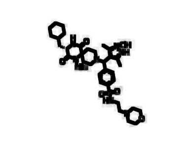 CCCCN1C(=O)[C@H](CC2CCCCC2)NC(=O)C12CCN(C(c1ccc(S(=O)(=O)NCCN3CCOCC3)cc1)c1c(C)n[nH]c1C)CC2.Cl